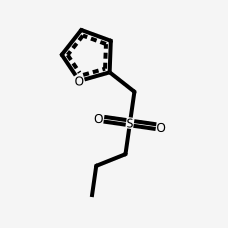 CCCS(=O)(=O)Cc1ccco1